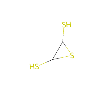 SC1SC1S